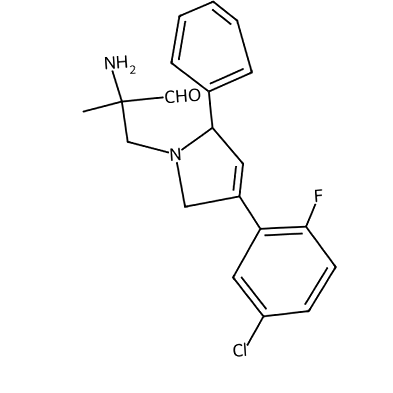 CC(N)(C=O)CN1CC(c2cc(Cl)ccc2F)=CC1c1ccccc1